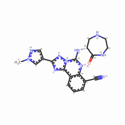 Cn1cc(-c2nc3c4cccc(C#N)c4nc(N[C@@H]4CNCCNC4=O)n3n2)cn1